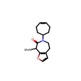 CNC1C(=O)N(C2CCC=CCC2)CCc2ccoc21